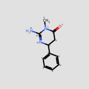 CN1C(=O)CC(c2ccccc2)N=C1N